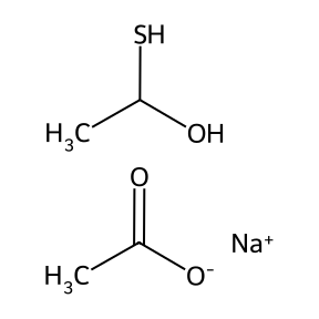 CC(=O)[O-].CC(O)S.[Na+]